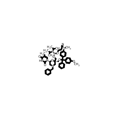 COc1ccc(C(OC[C@]2(COP(OCCC#N)N(C(C)C)C(C)C)CN(Cc3ccccc3)C[C@H](n3cc(C)c(=O)[nH]c3=O)O2)(c2ccccc2)c2ccc(OC)cc2)cc1